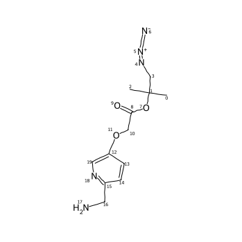 CC(C)(CN=[N+]=[N-])OC(=O)COc1ccc(CN)nc1